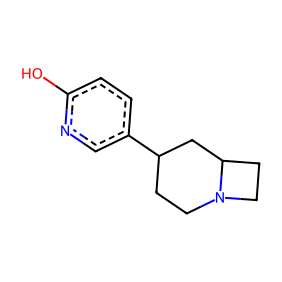 Oc1ccc(C2CCN3CCC3C2)cn1